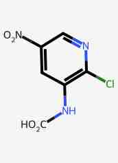 O=C(O)Nc1cc([N+](=O)[O-])cnc1Cl